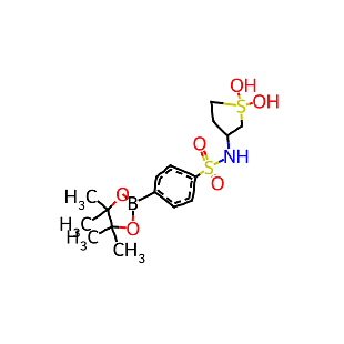 CC1(C)OB(c2ccc(S(=O)(=O)NC3CCS(O)(O)C3)cc2)OC1(C)C